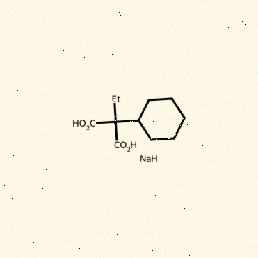 CCC(C(=O)O)(C(=O)O)C1CCCCC1.[NaH]